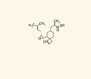 C=C(CC1CCC2(CCC2)C([C@@]2(C)O[C@@H]2CC=C(C)C)C1)NS